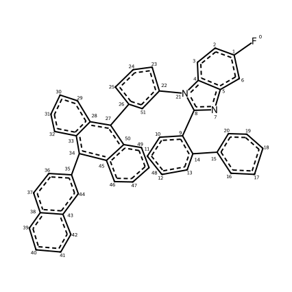 Fc1ccc2c(c1)nc(-c1ccccc1-c1ccccc1)n2-c1cccc(-c2c3ccccc3c(-c3ccc4ccccc4c3)c3ccccc23)c1